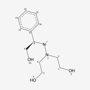 OCCN(CCO)[N][C@@H](CO)c1ccccc1